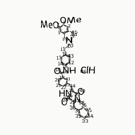 COc1cc2c(cc1OC)CN(CCc1ccc(NC(=O)c3cccc(C=c4[nH]c(=O)c(=Cc5ccccc5)n(C)c4=O)c3)cc1)CC2.Cl